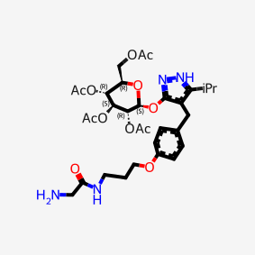 CC(=O)OC[C@H]1O[C@@H](Oc2n[nH]c(C(C)C)c2Cc2ccc(OCCCNC(=O)CN)cc2)[C@H](OC(C)=O)[C@@H](OC(C)=O)[C@@H]1OC(C)=O